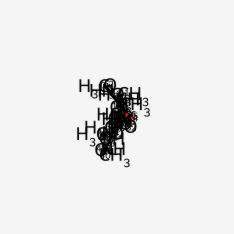 CC(=O)NCCCC[C@H](NC(C)O)C(=O)N(C)c1ccc2c(c1)P(=O)(O)c1cc(N(C)C(=O)[C@H](CCCCNC(C)=O)NC(C)O)ccc1C21OC(=O)c2ccccc21